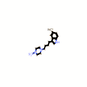 N#Cc1ccc2[nH]cc(CCCCN3CCN(N)CC3)c2c1